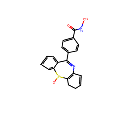 O=C(NO)c1ccc(C2=NC3=C(CCC=C3)[S+]([O-])c3ccccc32)cc1